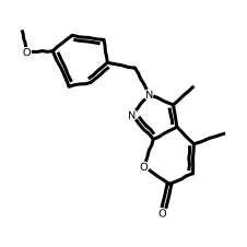 COc1ccc(Cn2nc3oc(=O)cc(C)c3c2C)cc1